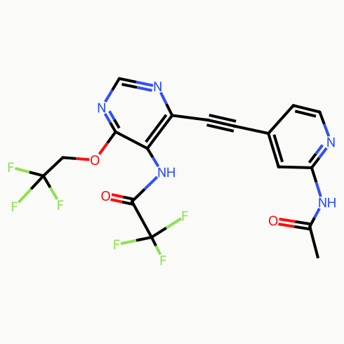 CC(=O)Nc1cc(C#Cc2ncnc(OCC(F)(F)F)c2NC(=O)C(F)(F)F)ccn1